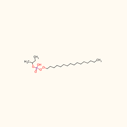 CCCCCCCCCCCCCCCCOOP(=O)(O)OC(C)CC